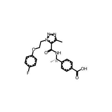 Cc1nnn(CCOc2ccc(F)cc2)c1C(=O)N[C@@H](C)c1ccc(C(=O)O)cc1